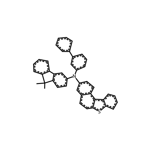 CC1(C)c2ccccc2-c2cc(N(c3cccc(-c4ccccc4)c3)c3ccc4c(ccc5sc6ccccc6c54)c3)ccc21